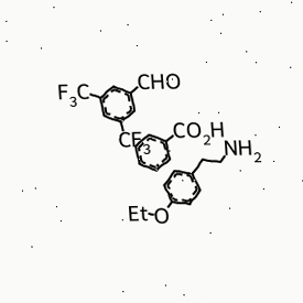 CCOc1ccc(CCN)cc1.O=C(O)c1ccccc1.O=Cc1cc(C(F)(F)F)cc(C(F)(F)F)c1